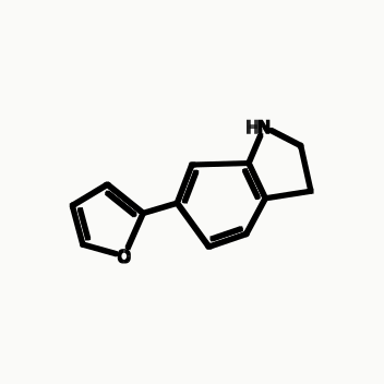 c1coc(-c2ccc3c(c2)NCC3)c1